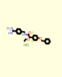 CCOC(C(=O)NCc1ccc(C(=N)N)cc1)c1c(F)cc(OCc2ccccc2)cc1F.Cl